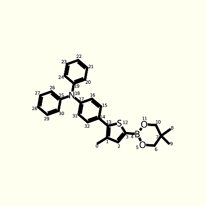 Cc1cc(B2OCC(C)(C)CO2)sc1-c1ccc(N(c2ccccc2)c2ccccc2)cc1